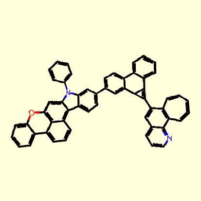 C1=CC=Cc2c(C3=C4c5ccccc5-c5ccc(-c6ccc7c8c9cccc%10c9c(cc8n(-c8ccccc8)c7c6)Oc6ccccc6-%10)cc5C43)cc3cccnc3c2C=1